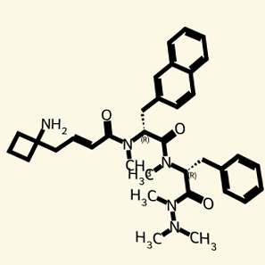 CN(C(=O)C=CCC1(N)CCC1)[C@H](Cc1ccc2ccccc2c1)C(=O)N(C)[C@H](Cc1ccccc1)C(=O)N(C)N(C)C